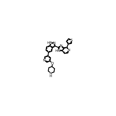 c1cc2[nH]c(-c3n[nH]c4ccc(-c5cncc(OC6CCNCC6)c5)cc34)nc2c(-c2ccsc2)n1